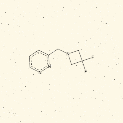 FC1(F)CN(Cc2cccnn2)C1